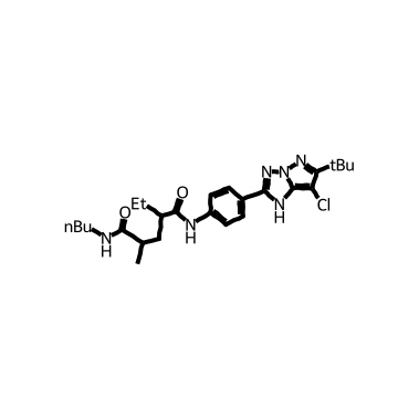 CCCCNC(=O)C(C)CC(CC)C(=O)Nc1ccc(-c2nn3nc(C(C)(C)C)c(Cl)c3[nH]2)cc1